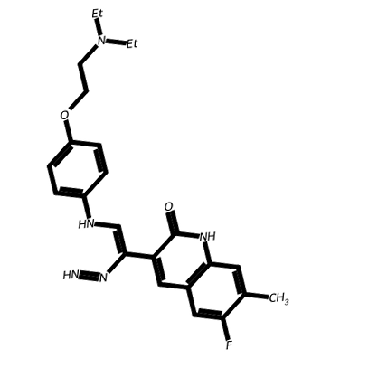 CCN(CC)CCOc1ccc(N/C=C(\N=N)c2cc3cc(F)c(C)cc3[nH]c2=O)cc1